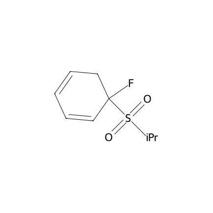 CC(C)S(=O)(=O)C1(F)C=CC=CC1